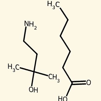 CC(C)(O)CCN.CCCCCC(=O)O